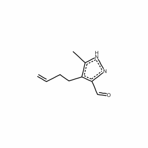 C=CCCc1c(C=O)n[nH]c1C